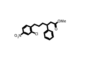 COC(=O)CC(CCCc1ccc([N+](=O)[O-])cc1Cl)c1ccccc1